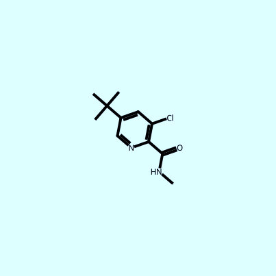 CNC(=O)c1ncc(C(C)(C)C)cc1Cl